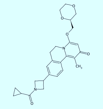 Cc1c2n(c(OC[C@@H]3COCCO3)cc1=O)CCc1cc(C3CN(C(=O)C4CC4)C3)ccc1-2